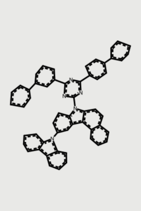 c1ccc(-c2ccc(-c3nc(-c4cccc(-c5ccccc5)c4)nc(-n4c5ccc(-n6c7ccccc7c7ccccc76)cc5c5c6ccccc6ccc54)n3)cc2)cc1